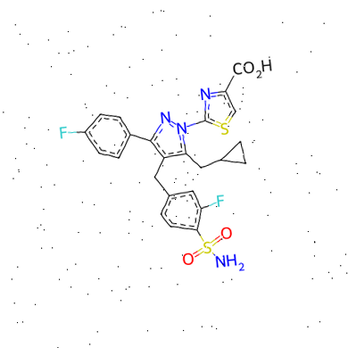 NS(=O)(=O)c1ccc(Cc2c(-c3ccc(F)cc3)nn(-c3nc(C(=O)O)cs3)c2CC2CC2)cc1F